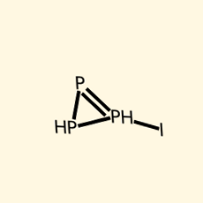 I[PH]1=PP1